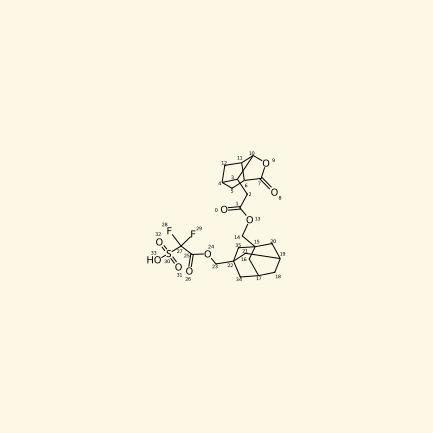 O=C(CC1C2CC3C(=O)OC1C3C2)OCC12CC3CC(C1)CC(COC(=O)C(F)(F)S(=O)(=O)O)(C3)C2